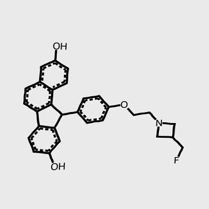 Oc1ccc2c(c1)C(c1ccc(OCCN3CC(CF)C3)cc1)c1c-2ccc2cc(O)ccc12